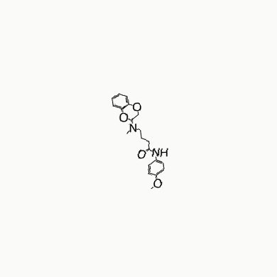 COc1ccc(NC(=O)CCCN(C)C2COc3ccccc3O2)cc1